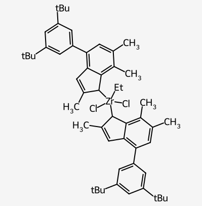 C[CH2][Zr]([Cl])([Cl])([CH]1C(C)=Cc2c(-c3cc(C(C)(C)C)cc(C(C)(C)C)c3)cc(C)c(C)c21)[CH]1C(C)=Cc2c(-c3cc(C(C)(C)C)cc(C(C)(C)C)c3)cc(C)c(C)c21